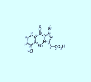 CCn1c(CC(=O)O)cc(Br)c1C(=O)c1cccc(Cl)c1